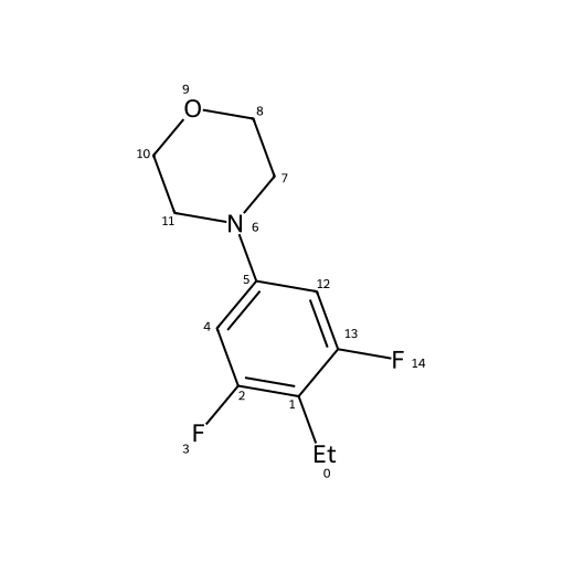 [CH2]Cc1c(F)cc(N2CCOCC2)cc1F